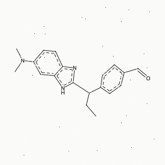 CCC(c1ccc(C=O)cc1)c1nc2ccc(N(C)C)cc2[nH]1